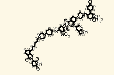 CC1(C)CCC(CN2CCN(c3ccc(C(=O)NS(=O)(=O)c4ccc(NC[C@H]5CC[C@H](N6CCN(CCCCCCc7cccc8c7CN(C7CCC(=O)NC7=O)C8=O)CC6)CC5)c([N+](=O)[O-])c4)c(Oc4cnc5[nH]ccc5c4)c3)CC2)=C(c2ccc(Cl)cc2)C1